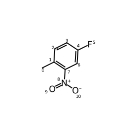 Cc1[c]cc(F)cc1[N+](=O)[O-]